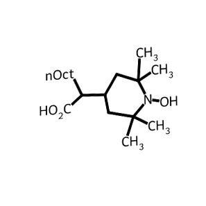 CCCCCCCCC(C(=O)O)C1CC(C)(C)N(O)C(C)(C)C1